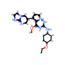 CCOC1CCC(Nc2nc(OC)c3c(-c4cnc5nccn5c4)ccn3n2)CC1